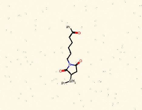 CC(C)[SiH2]C1CC(=O)N(CCCCCC(=O)C(C)C)C1=O